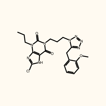 CCCn1c(=O)n(CCCn2nnnc2Cc2ccccc2OC)c(=O)c2[nH]c(Cl)nc21